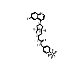 C[C@@H](C(=O)Nc1ccc(S(F)(F)(F)(F)F)cc1)[C@@H]1C[C@H]2C[C@@H](c3ccnc4ccc(F)cc34)C[C@H]2C1